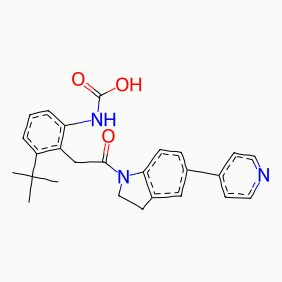 CC(C)(C)c1cccc(NC(=O)O)c1CC(=O)N1CCc2cc(-c3ccncc3)ccc21